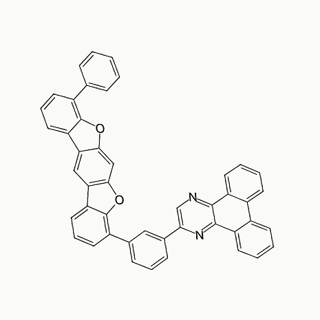 c1ccc(-c2cccc3c2oc2cc4oc5c(-c6cccc(-c7cnc8c9ccccc9c9ccccc9c8n7)c6)cccc5c4cc23)cc1